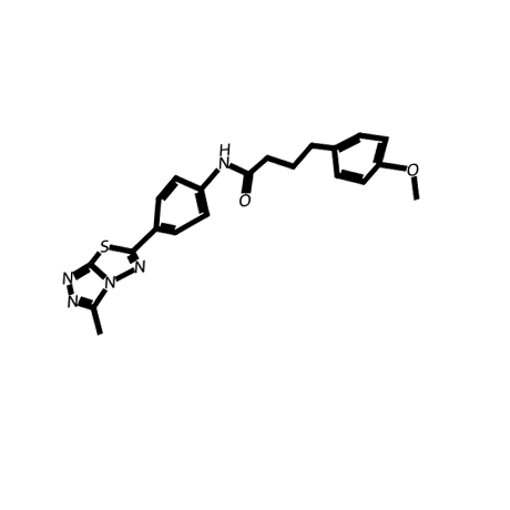 COc1ccc(CCCC(=O)Nc2ccc(-c3nn4c(C)nnc4s3)cc2)cc1